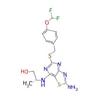 C[C@H](CO)Nc1nc(SCc2ccc(OC(F)F)cc2)nc2nc(N)sc12